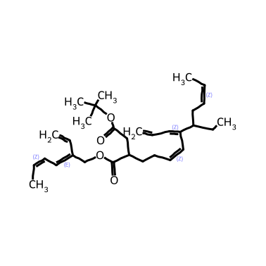 C=C/C=C(\C=C/CCC(CC(=O)OC(C)(C)C)C(=O)OC/C(C=C)=C/C=C\C)C(CC)C/C=C\C